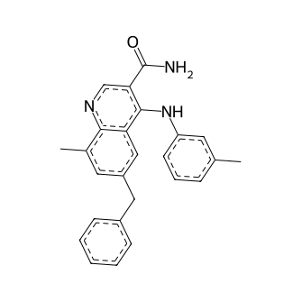 Cc1cccc(Nc2c(C(N)=O)cnc3c(C)cc(Cc4ccccc4)cc23)c1